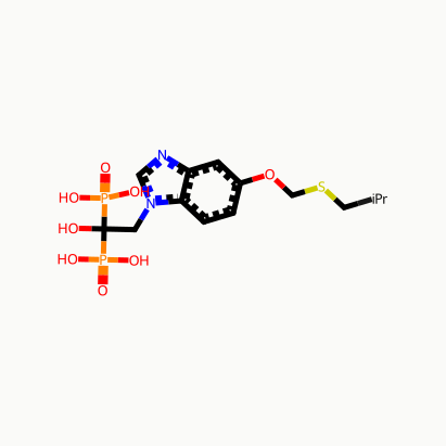 CC(C)CSCOc1ccc2c(c1)ncn2CC(O)(P(=O)(O)O)P(=O)(O)O